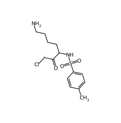 Cc1ccc(S(=O)(=O)NC(CCCCN)C(=O)[CH]Cl)cc1